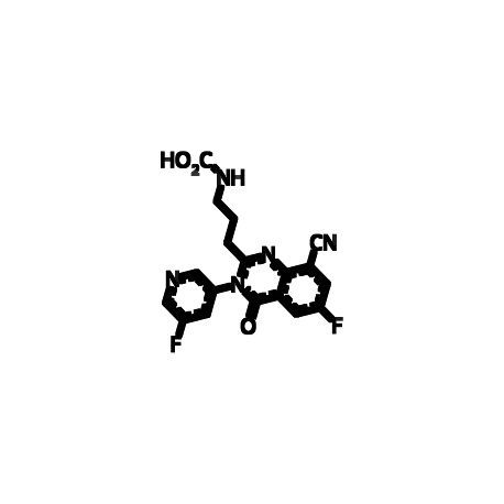 N#Cc1cc(F)cc2c(=O)n(-c3cncc(F)c3)c(CCCNC(=O)O)nc12